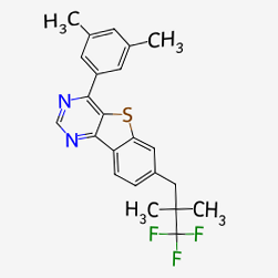 Cc1cc(C)cc(-c2ncnc3c2sc2cc(CC(C)(C)C(F)(F)F)ccc23)c1